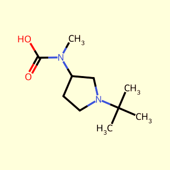 CN(C(=O)O)C1CCN(C(C)(C)C)C1